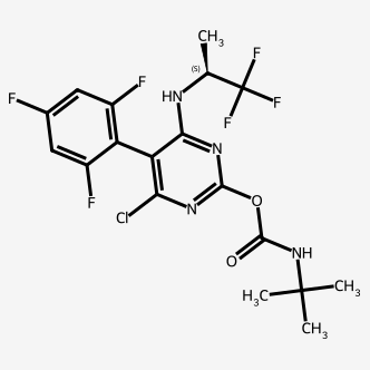 C[C@H](Nc1nc(OC(=O)NC(C)(C)C)nc(Cl)c1-c1c(F)cc(F)cc1F)C(F)(F)F